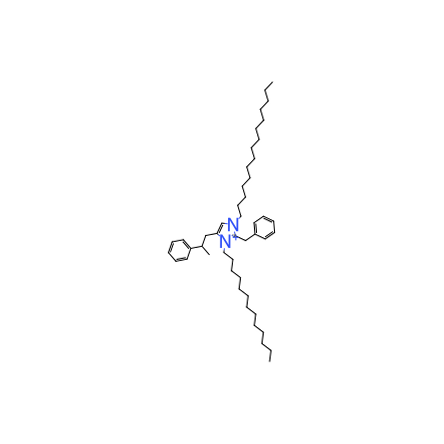 CCCCCCCCCCCCCCCn1cc(CC(C)c2ccccc2)[n+](CCCCCCCCCCCCC)c1Cc1ccccc1